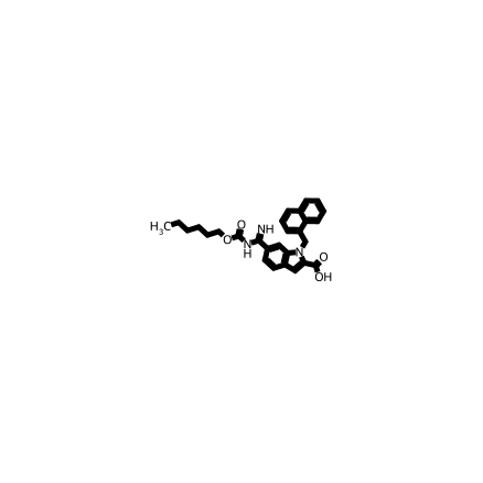 CCCCCCOC(=O)NC(=N)c1ccc2cc(C(=O)O)n(Cc3cccc4ccccc34)c2c1